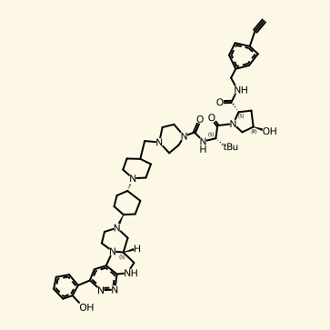 C#Cc1ccc(CNC(=O)[C@@H]2C[C@@H](O)CN2C(=O)[C@@H](NC(=O)N2CCN(CC3CCN([C@H]4CC[C@H](N5CCN6c7cc(-c8ccccc8O)nnc7NC[C@H]6C5)CC4)CC3)CC2)C(C)(C)C)cc1